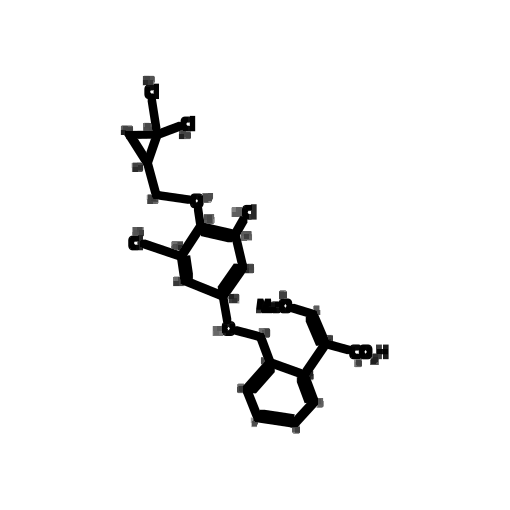 CO/C=C(/C(=O)O)c1ccccc1COc1cc(Cl)c(OCC2CC2(Cl)Cl)c(Cl)c1